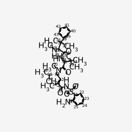 CN[C@H](C(=O)N[C@H](C(=O)N(C)[C@H](C=C(C)C(=O)NS(=O)(=O)c1ccccc1N)C(C)C)C(C)(C)C)C(C)(C)c1ccccc1